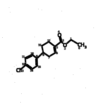 CCOC(=O)C1=CCC(c2ccc(Cl)cc2)CC1